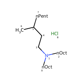 CCCCCCCCN(CCCCCCCC)CCC(C)CCCCC.Cl